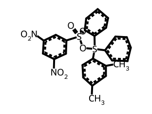 Cc1ccc(S(OS(=O)(=O)c2cc([N+](=O)[O-])cc([N+](=O)[O-])c2)(c2ccccc2)c2ccccc2)c(C)c1